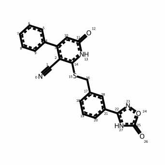 N#Cc1c(-c2ccccc2)cc(=O)[nH]c1SCc1cccc(-c2noc(=O)[nH]2)c1